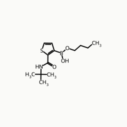 CCCCOB(O)c1ccsc1C(=O)NC(C)(C)C